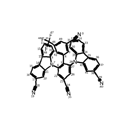 N#Cc1cc(-c2c(-n3c4ccccc4c4ccc(C#N)cc43)cc(C#N)cc2-n2c3ccccc3c3ccc(C#N)cc32)cc(C(F)(F)F)c1